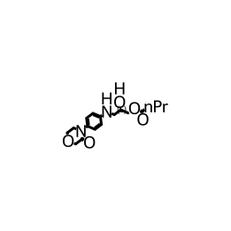 CCCC(=O)OC[C@@H](O)CNc1ccc(N2CCOCC2=O)cc1